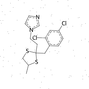 CC1CSC(CCn2ccnc2)(Cc2ccc(Cl)cc2Cl)S1